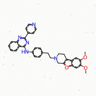 COc1cc2oc3c(c2cc1OC)CCN(CCc1ccc(Nc2nc(-c4ccncc4)nc4ccccc24)cc1)C3